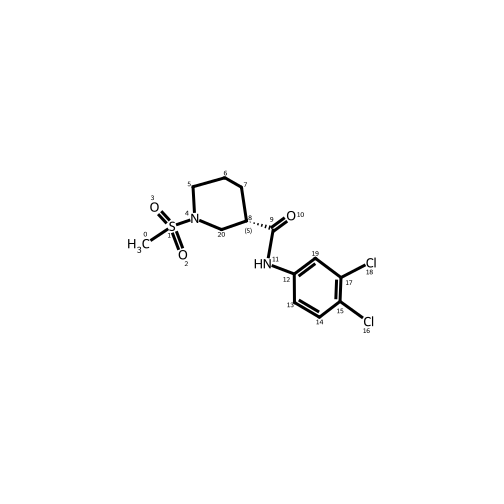 CS(=O)(=O)N1CCC[C@H](C(=O)Nc2ccc(Cl)c(Cl)c2)C1